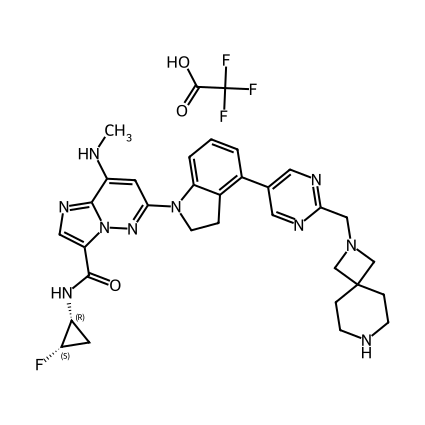 CNc1cc(N2CCc3c(-c4cnc(CN5CC6(CCNCC6)C5)nc4)cccc32)nn2c(C(=O)N[C@@H]3C[C@@H]3F)cnc12.O=C(O)C(F)(F)F